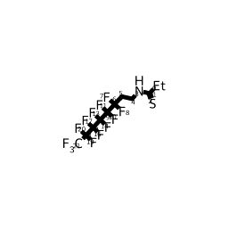 CCC(=S)NC[CH]C(F)(F)C(F)(F)C(F)(F)C(F)(F)C(F)(F)C(F)(F)F